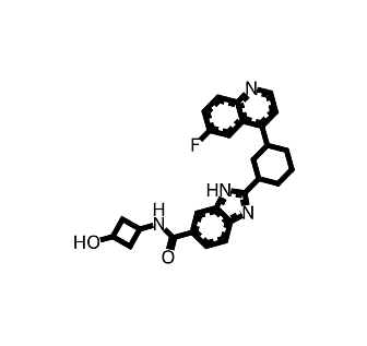 O=C(NC1CC(O)C1)c1ccc2nc(C3CCCC(c4ccnc5ccc(F)cc45)C3)[nH]c2c1